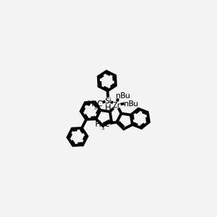 CCC[CH2][Zr]([CH2]CCC)([CH]1C=Cc2c(-c3ccccc3)cccc21)([CH]1C(C)=Cc2ccccc21)[SiH](C)c1ccccc1